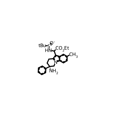 CCOC(=O)C(N[S+]([O-])C(C)(C)C)c1c2n(c3ccc(C)cc13)C[C@@](N)(c1ccccc1)CC2